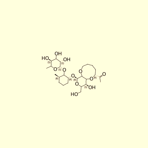 CC(=O)[C@H]1CCCCOC2C(O1)[C@@H](O)C(CO)O[C@H]2O[C@@H]1CCC[C@@H](C)C1O[C@@H]1OC(C)[C@@H](O)C(O)[C@@H]1O